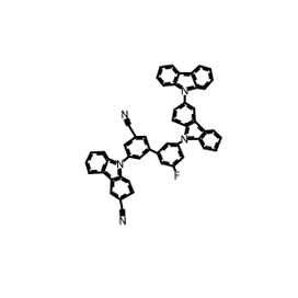 N#Cc1cc(-c2cc(F)cc(-n3c4ccccc4c4cc(-n5c6ccccc6c6ccccc65)ccc43)c2)cc(-n2c3ccccc3c3cc(C#N)ccc32)c1